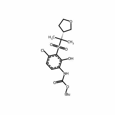 CC(C)(C)OC(=O)Nc1ccc(Cl)c(S(=O)(=O)C(C)(C)[C@@H]2CCOC2)c1O